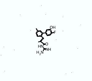 C/C(=C\c1ccc(C)cc1-c1ccc(F)c(O)c1)C(=O)NC(=N)N